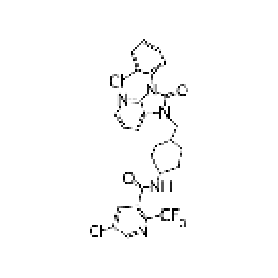 O=C(NC1CCC(Cn2c(=O)n(-c3ccccc3Cl)c3ncccc32)CC1)c1cc(Cl)cnc1C(F)(F)F